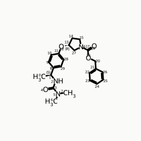 C[C@H](NC(=O)N(C)C)c1ccc(O[C@@H]2CCN(C(=O)OCc3ccccc3)C2)cc1